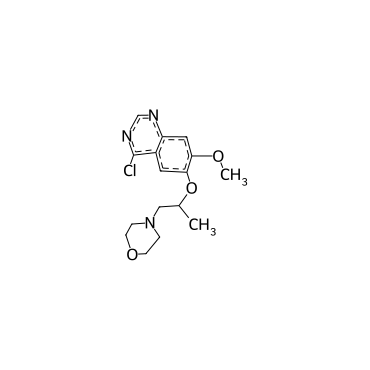 COc1cc2ncnc(Cl)c2cc1OC(C)CN1CCOCC1